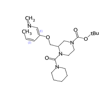 C=N/C=C(\C=C/C)OCC1CN(C(=O)OC(C)(C)C)CCN1C(=O)N1CCCCC1